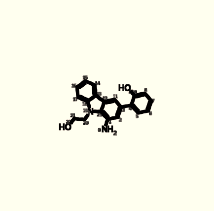 Nc1cc(-c2ccccc2O)cc2c3ccccc3n(CCO)c12